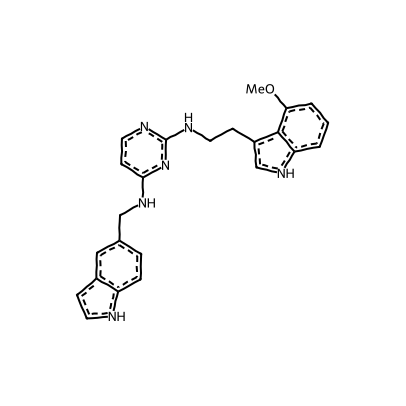 COc1cccc2[nH]cc(CCNc3nccc(NCc4ccc5[nH]ccc5c4)n3)c12